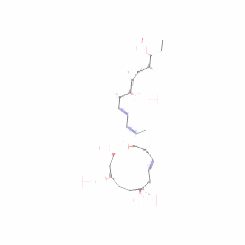 CC[C@H](OC)[C@@H](C)[C@H]1C[C@@H]1[C@@H](O)[C@H](C)/C=C/C=C(\C)[C@H]1OC(=O)C[C@H](O)CC[C@@](C)(O)[C@@H](C)/C=C/[C@@H]1C